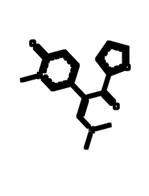 CN(C)C=C(C(=O)c1ccco1)c1ccc(=O)n(C)c1